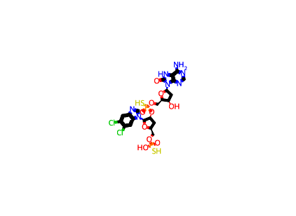 Nc1ncnc2c1[nH]c(=O)n2[C@H]1C[C@H](O)[C@@H](COP(=O)(S)O[C@@H]2C[C@@H](COP(=O)(O)S)O[C@H]2n2cnc3cc(Cl)c(Cl)cc32)O1